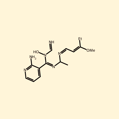 CC/C(=C\C=N/C(C)/N=C(/c1cccnc1N)N(O)C=N)OC